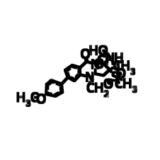 C=Nc1cc(-c2ccc(OC)cc2)ccc1C(=O)N(C)CC[C@](C)(C(=O)NO)S(C)(=O)=O